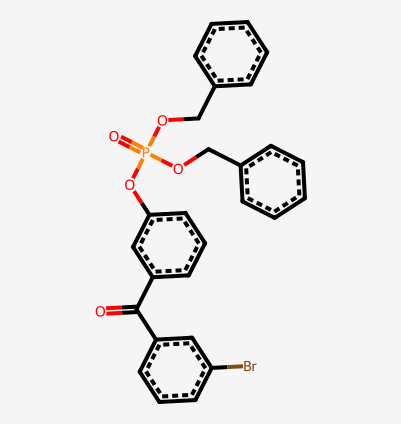 O=C(c1cccc(Br)c1)c1cccc(OP(=O)(OCc2ccccc2)OCc2ccccc2)c1